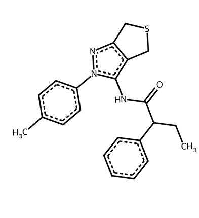 CCC(C(=O)Nc1c2c(nn1-c1ccc(C)cc1)CSC2)c1ccccc1